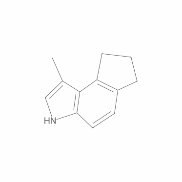 Cc1c[nH]c2ccc3c(c12)CCC3